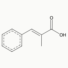 C/C(=C\c1ccccc1)C(=O)O